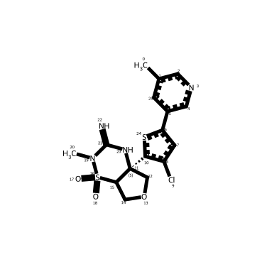 Cc1cncc(-c2cc(Cl)c([C@]34COCC3S(=O)(=O)N(C)C(=N)N4)s2)c1